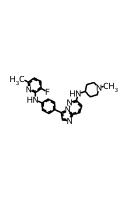 Cc1ccc(F)c(Nc2ccc(-c3cnc4ccc(NC5CCN(C)CC5)nn34)cc2)n1